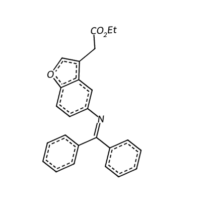 CCOC(=O)Cc1coc2ccc(N=C(c3ccccc3)c3ccccc3)cc12